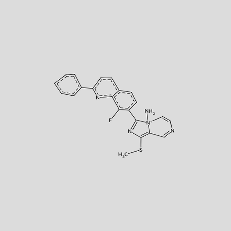 CSC1=C2C=NC=C[N+]2(N)C(c2ccc3ccc(-c4ccccc4)nc3c2F)=N1